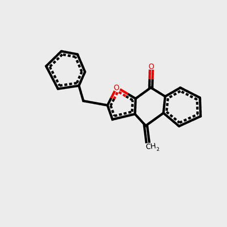 C=C1c2ccccc2C(=O)c2oc(Cc3ccccc3)cc21